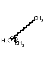 CCC=CC=CCCC=CCCCCCC(OCC)OCC